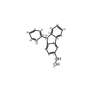 OBc1ccc2c(c1)c1ccccc1n2-c1ccccn1